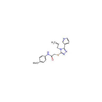 C=CCn1c(SCC(=O)Nc2ccc(OC)cc2)nnc1-c1cccnc1